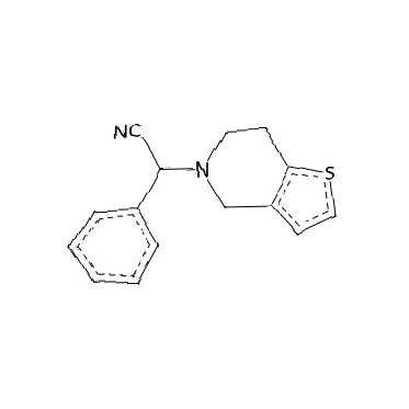 N#CC(c1ccccc1)N1CCc2sccc2C1